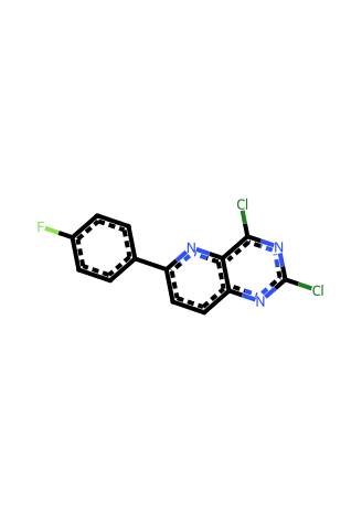 Fc1ccc(-c2ccc3nc(Cl)nc(Cl)c3n2)cc1